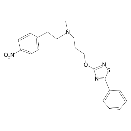 CN(CCCOc1nsc(-c2ccccc2)n1)CCc1ccc([N+](=O)[O-])cc1